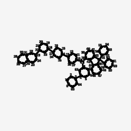 c1ccc(-c2cccc(N(c3ccc(-c4ccc(-c5cccc(-c6ccc7ccccc7c6)c5)cc4)cc3)c3cccc4c3-c3ccccc3C4(c3ccccc3)c3ccccc3)c2)cc1